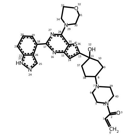 C=CC(=O)N1CCN(C2CCC(O)(c3cc4nc(-c5cccc6[nH]ncc56)nc(N5CCOCC5)c4s3)CC2)CC1